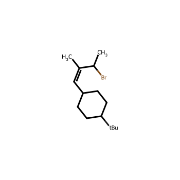 CC(=CC1CCC(C(C)(C)C)CC1)C(C)Br